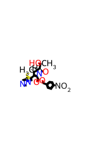 C[C@@H](O)[C@H]1C(=O)N2C(C(=O)OCc3ccc([N+](=O)[O-])cc3)=C(c3cn4cncc4s3)[C@H](C)[C@H]12